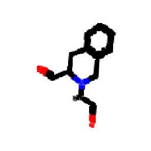 O=CBN1Cc2ccccc2C[C@@H]1C=O